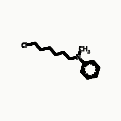 CN(CCCCCCCl)c1ccccc1